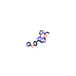 C=CC(=O)N1CCC[C@H]1c1nc(-c2ccc(Oc3cccnc3)cc2)c2cnccn12